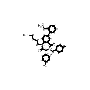 C[C@H](c1ccc(Cl)cc1)N1C(=O)c2cc(-c3ccccc3CN)ccc2N(CCCCC(=O)O)C(=O)[C@@H]1c1ccc(Cl)cc1